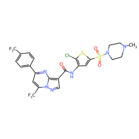 CN1CCN(S(=O)(=O)c2cc(NC(=O)c3cnn4c(C(F)(F)F)cc(-c5ccc(C(F)(F)F)cc5)nc34)c(Cl)s2)CC1